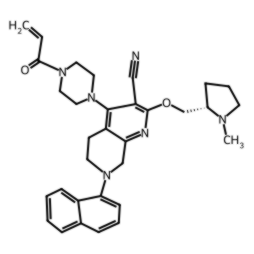 C=CC(=O)N1CCN(c2c(C#N)c(OC[C@@H]3CCCN3C)nc3c2CCN(c2cccc4ccccc24)C3)CC1